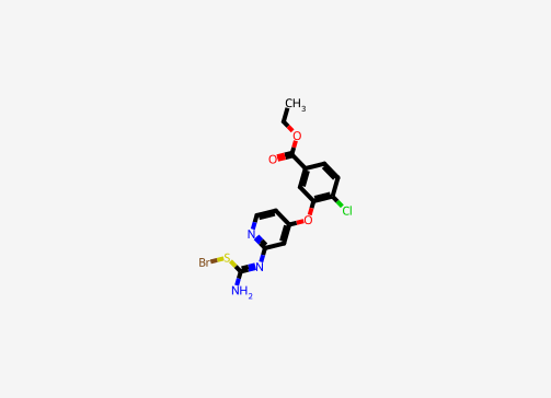 CCOC(=O)c1ccc(Cl)c(Oc2ccnc(N=C(N)SBr)c2)c1